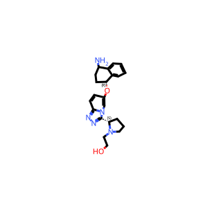 NC1CC[C@@H](Oc2ccc3nnc([C@@H]4CCCN4CCO)n3c2)c2ccccc21